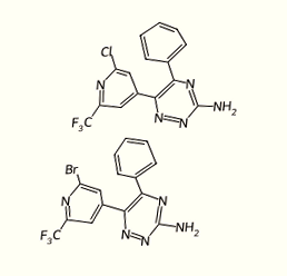 Nc1nnc(-c2cc(Br)nc(C(F)(F)F)c2)c(-c2ccccc2)n1.Nc1nnc(-c2cc(Cl)nc(C(F)(F)F)c2)c(-c2ccccc2)n1